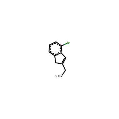 CCCCCCCC1=Cc2c(Br)cccc2C1